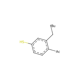 CC(=O)c1ccc(S)cc1CC(C)(C)C